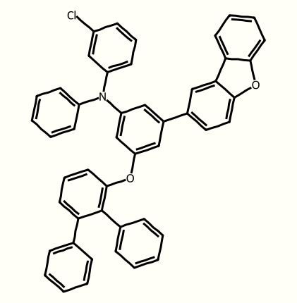 Clc1cccc(N(c2ccccc2)c2cc(Oc3cccc(-c4ccccc4)c3-c3ccccc3)cc(-c3ccc4oc5ccccc5c4c3)c2)c1